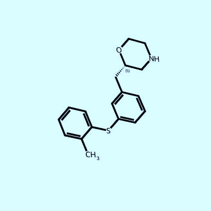 Cc1ccccc1Sc1cccc(C[C@H]2CNCCO2)c1